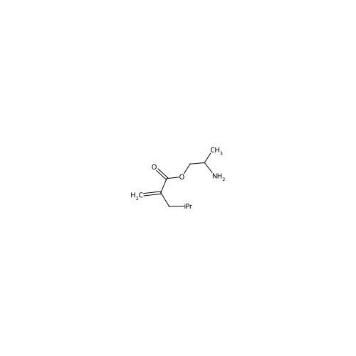 C=C(CC(C)C)C(=O)OCC(C)N